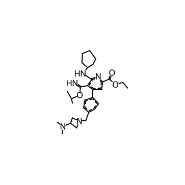 CCOC(=O)c1cc(-c2ccc(CN3CC(N(C)C)C3)cc2)c(C(=N)OC(C)C)c(NC2CCCCC2)n1